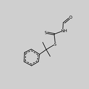 CC(C)(SC(=S)NC=O)c1ccccc1